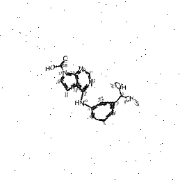 CC(O)c1cccc(Nc2ncnc3c2ccn3C(=O)O)c1